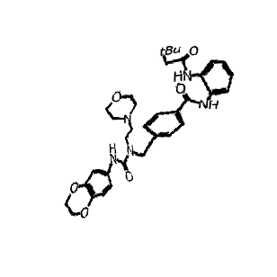 CC(C)(C)CC(=O)Nc1ccccc1NC(=O)c1ccc(CN(CCN2CCOCC2)C(=O)Nc2ccc3c(c2)OCCO3)cc1